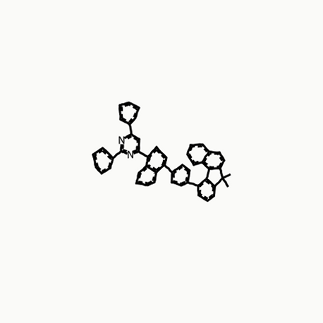 CC1(C)c2cccc(-c3ccc(-c4ccc(-c5cc(-c6ccccc6)nc(-c6ccccc6)n5)c5ccccc45)cc3)c2-c2c1ccc1ccccc21